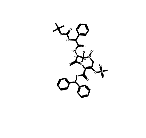 CC(C)(C)OC(=O)NC(C(=O)N[C@@H]1C(=O)N2C(C(=O)OC(c3ccccc3)c3ccccc3)=C(OS(C)(=O)=O)C[S+]([O-])[C@@H]12)c1ccccc1